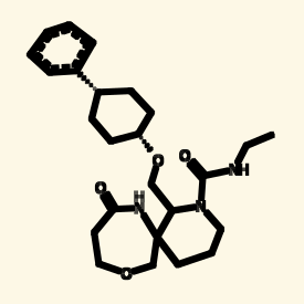 CCNC(=O)N1CCCC2(COCCC(=O)N2)C1CO[C@H]1CC[C@@H](c2ccccc2)CC1